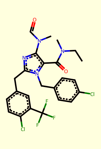 CCN(C)C(=O)c1c(N(C)C=O)nc(Cc2ccc(Cl)c(C(F)(F)F)c2)n1Cc1ccc(Cl)cc1